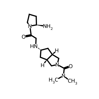 CN(C)C(=O)N1C[C@H]2C[C@@H](NCC(=O)N3CCC[C@H]3N)C[C@H]2C1